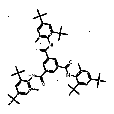 Cc1cc(C(C)(C)C)cc(C(C)(C)C)c1NC(=O)c1cc(C(=O)Nc2c(C)cc(C(C)(C)C)cc2C(C)(C)C)cc(C(=O)Nc2c(C)cc(C(C)(C)C)cc2C(C)(C)C)c1